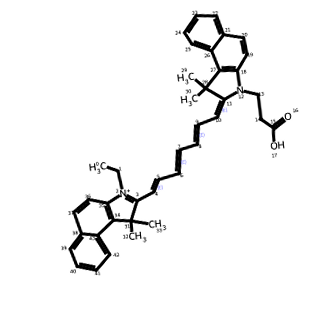 CC[N+]1=C(/C=C/C=C/C=C/C=C2/N(CCC(=O)O)c3ccc4ccccc4c3C2(C)C)C(C)(C)c2c1ccc1ccccc21